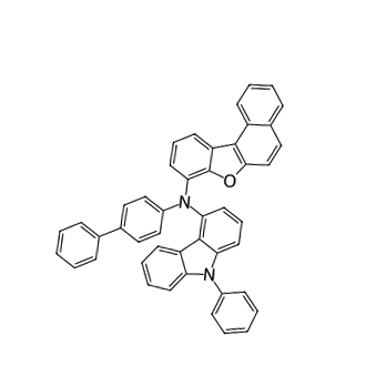 c1ccc(-c2ccc(N(c3cccc4c3oc3ccc5ccccc5c34)c3cccc4c3c3ccccc3n4-c3ccccc3)cc2)cc1